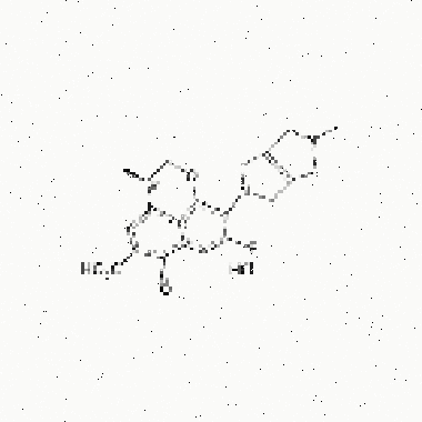 C[C@H]1COc2c(N3CC4=C(CN(C)C4)C3)c(F)cc3c(=O)c(C(=O)O)cn1c23.Cl